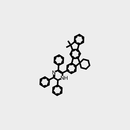 CC1(C)c2ccccc2-c2cc3c(cc21)-c1cc(C2=C(c4ccccc4)N=C(c4ccccc4)C(c4ccccc4)N2)ccc1C31CCCCC1